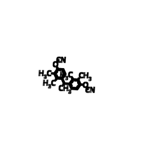 Cc1c(OC#N)ccc(C(C)c2ccc(OC#N)c(C)c2C)c1C